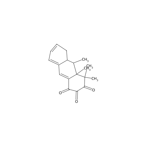 CC1C2CC=CC=C2C=C2C(=O)C(=O)C(=O)C(C)(C)C21C